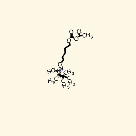 CC(Cl)OC(=O)OCCCCCO/N=[N+](\O)N(C)C(C)(C)C